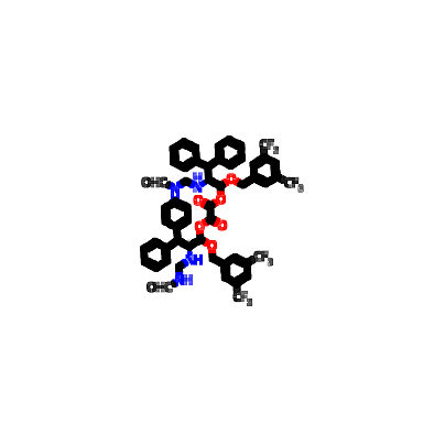 O=CNCN[C@H](C(OCc1cc(C(F)(F)F)cc(C(F)(F)F)c1)OC(=O)C(=O)OC(OCc1cc(C(F)(F)F)cc(C(F)(F)F)c1)[C@@H](NCNC=O)C(c1ccccc1)c1ccccc1)C(c1ccccc1)c1ccccc1